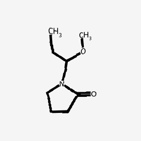 CCC(OC)N1CCCC1=O